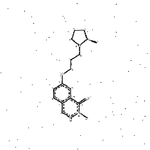 C[C@@H]1CCCN1CCCOc1ccc2cnn(C)c(=O)c2c1